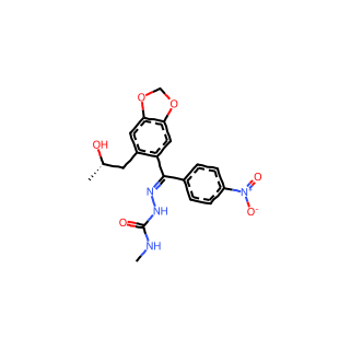 CNC(=O)NN=C(c1ccc([N+](=O)[O-])cc1)c1cc2c(cc1C[C@H](C)O)OCO2